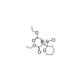 CCOC(=O)/C=C(\C(=O)OCC)C1([SiH2]Cl)CCCCO1